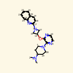 CN(C)C1CCN(c2nccnc2OC2CN(c3ccc4ccccc4n3)C2)CC1